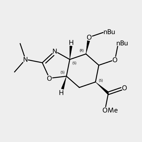 CCCCOC1[C@@H](C(=O)OC)C[C@@H]2OC(N(C)C)=N[C@@H]2[C@H]1OCCCC